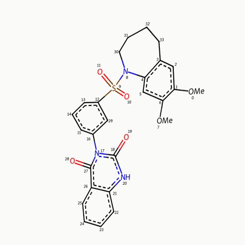 COc1cc2c(cc1OC)N(S(=O)(=O)c1cccc(-n3c(=O)[nH]c4ccccc4c3=O)c1)CCCC2